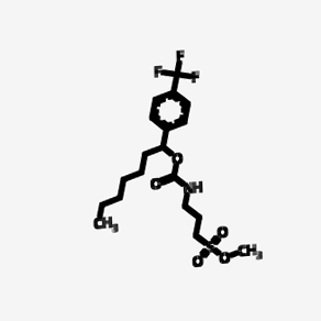 CCCCCCC(OC(=O)NCCCS(=O)(=O)OC)c1ccc(C(F)(F)F)cc1